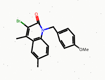 COc1ccc(Cn2c(=O)c(Br)c(C)c3cc(C)ccc32)cc1